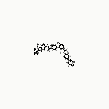 Cc1ccc(C(=O)Nc2ccc(N3CCOCC3)cc2)cc1-c1ccc(C(=O)Nc2ccc3[nH]c(C(F)(F)F)nc3c2)cc1